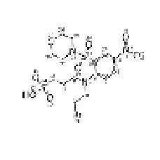 O=[N+]([O-])c1ccc(N(CCBr)CCCS(=O)(=O)O)c(S(=O)(=O)N2CCOCC2)c1